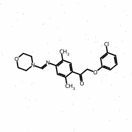 Cc1cc(C(=O)COc2cccc(Cl)c2)c(C)cc1/N=C/N1CCOCC1